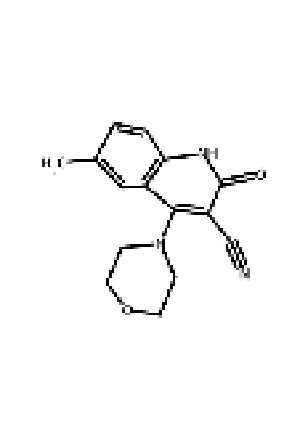 Cc1ccc2[nH]c(=O)c(C#N)c(N3CCOCC3)c2c1